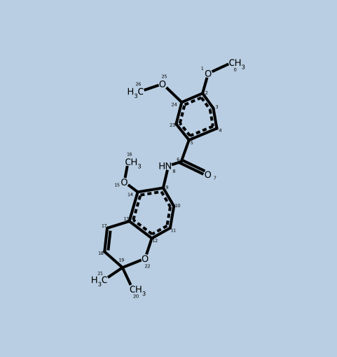 COc1ccc(C(=O)Nc2ccc3c(c2OC)C=CC(C)(C)O3)cc1OC